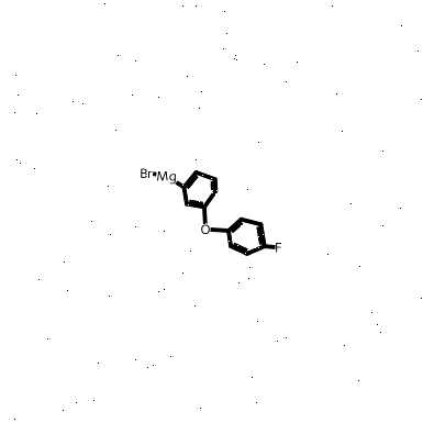 Fc1ccc(Oc2ccc[c]([Mg][Br])c2)cc1